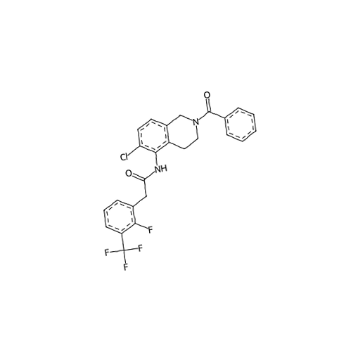 O=C(Cc1cccc(C(F)(F)F)c1F)Nc1c(Cl)ccc2c1CCN(C(=O)c1ccccc1)C2